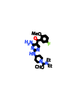 CCN(CC)C(C=O)N1CCC(Nc2ncc(C(=O)c3cc(F)ccc3OC)c(N)n2)CC1